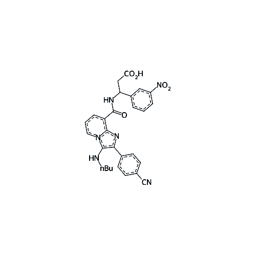 CCCCNc1c(-c2ccc(C#N)cc2)nc2c(C(=O)NC(CC(=O)O)c3cccc([N+](=O)[O-])c3)cccn12